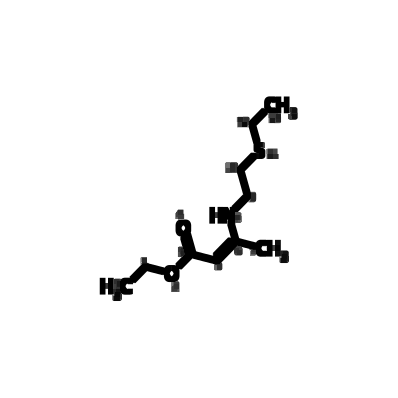 CCOC(=O)C=C(C)NCCSCC